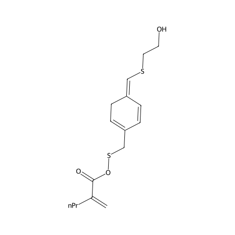 C=C(CCC)C(=O)OSCC1=CCC(=CSCCO)C=C1